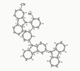 N#Cc1ccc2c3ccccc3n(-c3c(C#N)cccc3-c3cccc(-n4c5ccccc5c5cc(-n6c7ccccc7c7ccccc76)ccc54)c3)c2c1